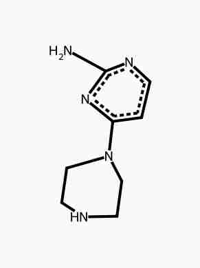 Nc1nccc(N2CCNCC2)n1